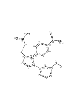 COc1cccc(-c2ccc(CCC(=O)O)n2-c2ccc(C(N)=O)cc2)c1